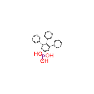 OP(O)O.c1ccc(-c2cccc(-c3ccccc3)c2-c2ccccc2)cc1